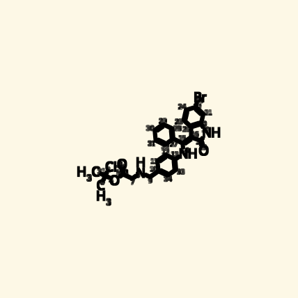 CC(C)(C)OC(=O)CNCc1ccc(N/C(=C2\C(=O)Nc3cc(Br)ccc32)c2ccccc2)cc1